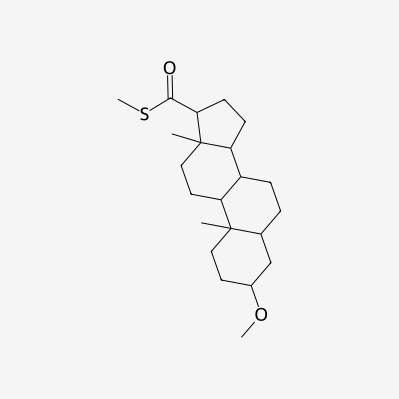 COC1CCC2(C)C(CCC3C2CCC2(C)C(C(=O)SC)CCC32)C1